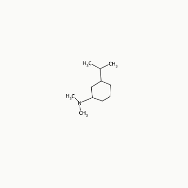 CC(C)C1CCCC(N(C)C)C1